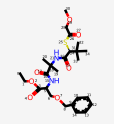 CCOC(=O)C(COCc1ccccc1)NC(=O)C(C)(C)NC(=O)[C@@H](SC(=O)COC)C(C)(C)C